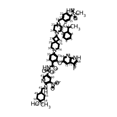 CC(C)c1ccccc1[C@@H]1CN(Cc2ccc(S(C)(=N)=O)cc2)CCN1C1CC2(CCN(c3ccc(C(=O)NS(=O)(=O)c4cnc(NCC5CCC(C)(O)CC5)c([N+](=O)[O-])c4)c(Oc4cnc5[nH]cc(F)c5c4)c3)CC2)C1